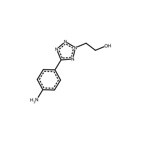 Nc1ccc(-c2nnn(CCO)n2)cc1